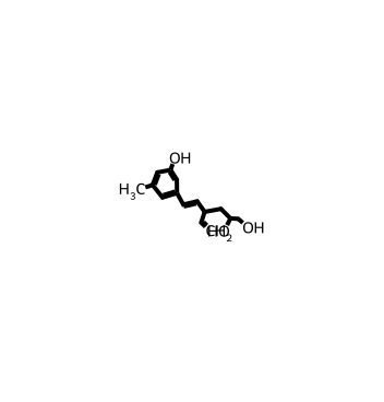 C=CC(/C=C/c1cc(C)cc(O)c1)CC(O)CO